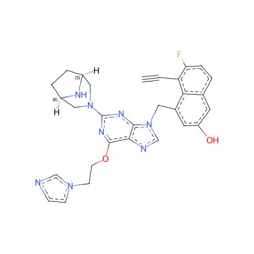 C#Cc1c(F)ccc2cc(O)cc(Cn3cnc4c(OCCn5ccnc5)nc(N5C[C@H]6CC[C@@H](C5)N6)nc43)c12